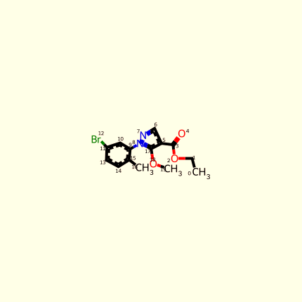 CCOC(=O)c1cnn(-c2cc(Br)ccc2C)c1OC